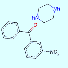 C1CNCCN1.O=C(c1ccccc1)c1cccc([N+](=O)[O-])c1